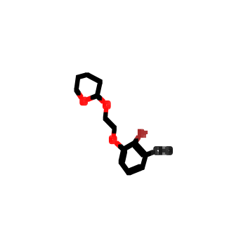 O=Cc1cccc(OCCOC2CCCCO2)c1Br